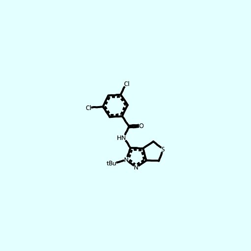 CC(C)(C)n1nc2c(c1NC(=O)c1cc(Cl)cc(Cl)c1)CSC2